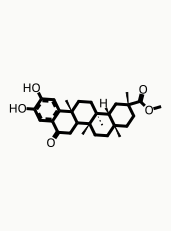 COC(=O)[C@]1(C)CC[C@]2(C)CC[C@]3(C)C4CC(=O)c5cc(O)c(O)cc5[C@]4(C)CC[C@@]3(C)[C@@H]2C1